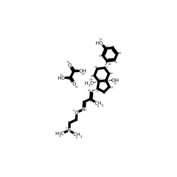 CC(/C=N/OCCN(C)C)=C\[C@H]1CC[C@]2(O)C[C@@H](c3cccc(O)c3)CC[C@]12C.O=C(O)C(=O)O